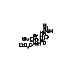 CCOC(=O)C[C@H](NC(=O)CNC(=O)c1cccc(NC(=N)N)c1)c1cc(Br)cc(C(C)(C)C)c1